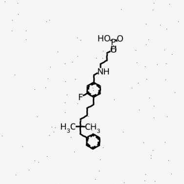 CC(C)(CCCCc1ccc(CNCCCO[PH](=O)O)cc1F)Cc1ccccc1